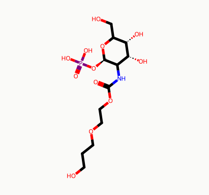 O=C(NC1[C@@H](OP(=O)(O)O)OC(CO)[C@H](O)[C@@H]1O)OCCOCCCO